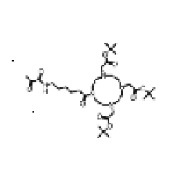 CC(=O)C(=O)NCCCCCC(=O)N1CCN(CC(=O)OC(C)(C)C)CCN(CC(=O)OC(C)(C)C)CCN(CC(=O)OC(C)(C)C)CC1